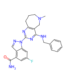 CN1CCCc2nc(-n3ncc4c(C(N)=O)cc(F)cc43)nc(NCc3ccccc3)c2C1